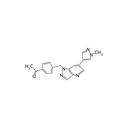 CC(=O)c1ccc(Cn2ncc3ncc(-c4cnn(C)c4)cc32)cc1